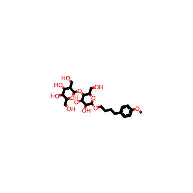 COc1ccc(CCCCOC2OC(CO)C(OC3OC(CO)C(O)C(O)C3CO)C(O)C2O)cc1